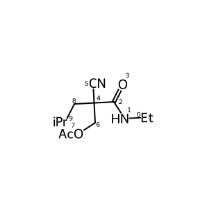 CCNC(=O)C(C#N)(COC(C)=O)CC(C)C